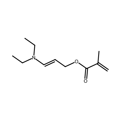 C=C(C)C(=O)OCC=CN(CC)CC